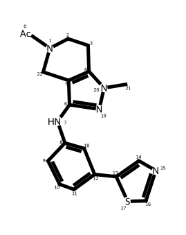 CC(=O)N1CCc2c(c(Nc3cccc(-c4cncs4)c3)nn2C)C1